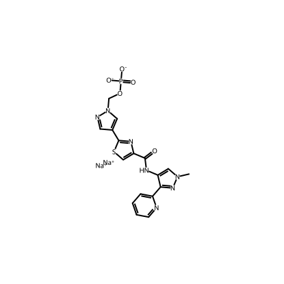 Cn1cc(NC(=O)c2csc(-c3cnn(COP(=O)([O-])[O-])c3)n2)c(-c2ccccn2)n1.[Na+].[Na+]